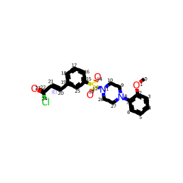 COc1ccccc1N1CCN(S(=O)(=O)c2cccc(/C=C/C(=O)Cl)c2)CC1